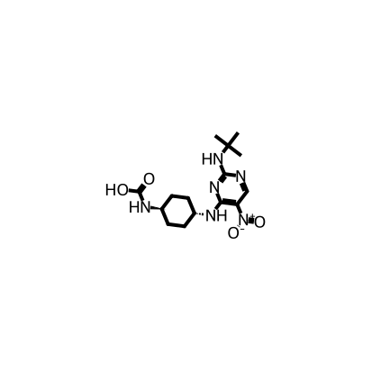 CC(C)(C)Nc1ncc([N+](=O)[O-])c(N[C@H]2CC[C@H](NC(=O)O)CC2)n1